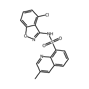 Cc1cnc2c(S(=O)(=O)Nc3noc4cccc(Cl)c34)cccc2c1